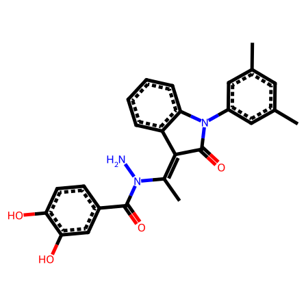 C/C(=C1\C(=O)N(c2cc(C)cc(C)c2)c2ccccc21)N(N)C(=O)c1ccc(O)c(O)c1